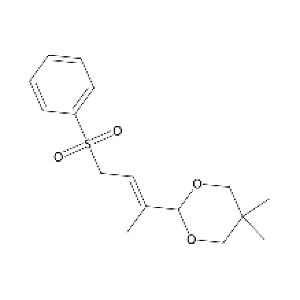 C/C(=C\CS(=O)(=O)c1ccccc1)C1OCC(C)(C)CO1